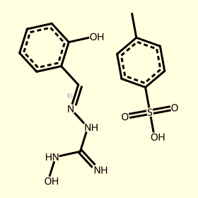 Cc1ccc(S(=O)(=O)O)cc1.N=C(NO)N/N=C/c1ccccc1O